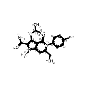 CCc1cc2c(c(OC(C)C)c(C(N)=O)n2C)c(=O)n1-c1ccc(F)cc1